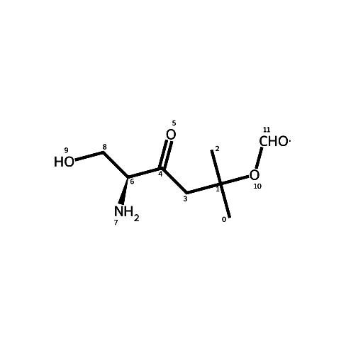 CC(C)(CC(=O)[C@@H](N)CO)O[C]=O